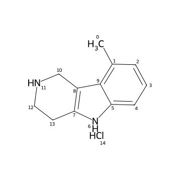 Cc1cccc2[nH]c3c(c12)CNCC3.Cl